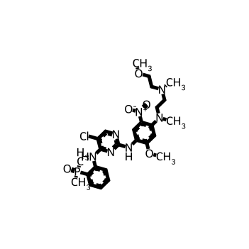 COCCN(C)CCN(C)c1cc(OC)c(Nc2ncc(Cl)c(Nc3ccccc3P(C)(C)=O)n2)cc1[N+](=O)[O-]